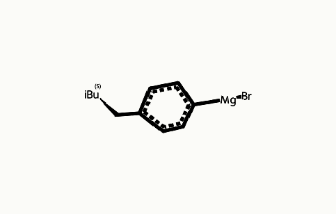 CC[C@H](C)Cc1cc[c]([Mg][Br])cc1